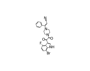 N#C/C=C(\c1ccccc1)N1CCN(C(=O)C(=O)c2c[nH]c3c(Br)ccc(F)c23)CC1